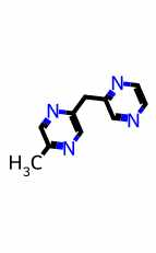 Cc1cnc(Cc2cnccn2)cn1